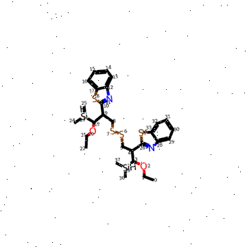 CCOC(C(CSSCC(c1nc2ccccc2s1)C(OCC)[SiH](C)C)c1nc2ccccc2s1)[SiH](C)C